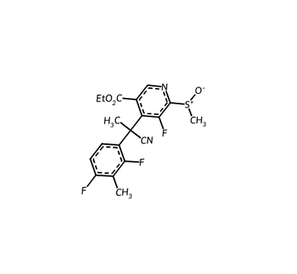 CCOC(=O)c1cnc([S+](C)[O-])c(F)c1C(C)(C#N)c1ccc(F)c(C)c1F